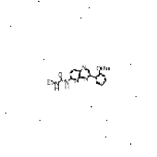 CCNC(=O)Nc1ccc2ncc(-c3ccccc3OCC(C)C)nc2n1